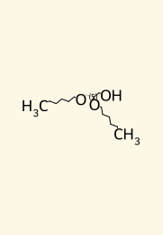 CCCCCCOC[C@H](CO)OCCCCCC